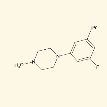 CC(C)c1cc(F)cc(N2CCN(C)CC2)c1